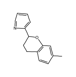 Cc1ccc2c(c1)OC(c1ccccn1)CC2